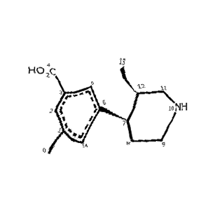 Cc1cc(C(=O)O)cc([C@@H]2CCNC[C@@H]2C)c1